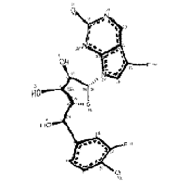 O[C@@H]1[C@H](O)[C@@H]([C@H](O)c2ccc(Cl)c(F)c2)O[C@H]1n1cc(F)c2cnc(Cl)nc21